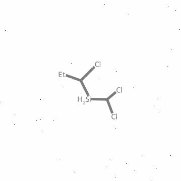 CCC(Cl)[SiH2]C(Cl)Cl